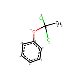 CC(Cl)(Cl)Oc1ccccc1